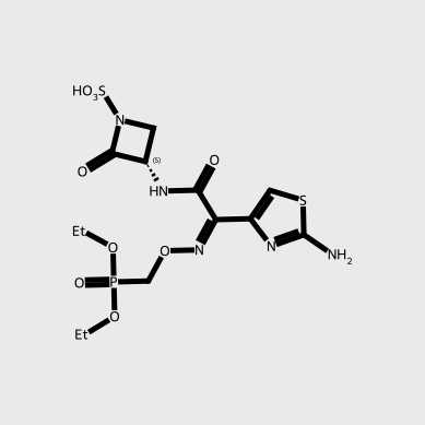 CCOP(=O)(CON=C(C(=O)N[C@H]1CN(S(=O)(=O)O)C1=O)c1csc(N)n1)OCC